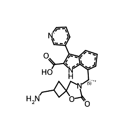 C[C@@H](c1cccc2c(-c3cccnc3)c(C(=O)O)[nH]c12)N1CC2(CC(CN)C2)OC1=O